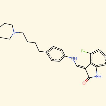 O=C1Nc2cccc(F)c2/C1=C\Nc1ccc(CCCCN2CCCCC2)cc1